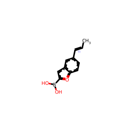 C/C=C/c1ccc2oc(B(O)O)cc2c1